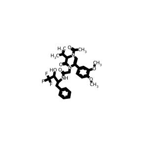 COc1ccc(C2=CN(C(C)=O)C(C(C)C)C(=O)N2CC(=O)NC(Cc2ccccc2)C(O)C(F)(F)F)cc1OC